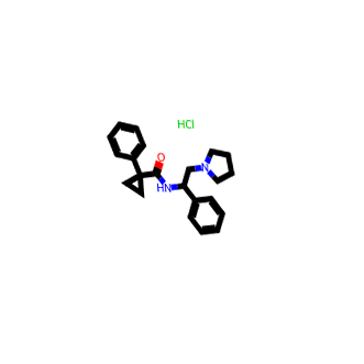 Cl.O=C(NC(CN1CCCC1)c1ccccc1)C1(c2ccccc2)CC1